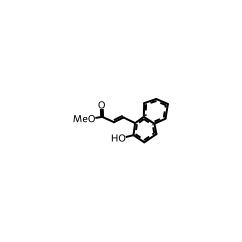 COC(=O)/C=C/c1c(O)ccc2ccccc12